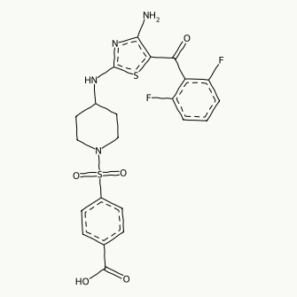 Nc1nc(NC2CCN(S(=O)(=O)c3ccc(C(=O)O)cc3)CC2)sc1C(=O)c1c(F)cccc1F